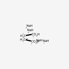 CC(=O)O.CC(=O)O.[NaH].[NaH].[NaH].[NaH]